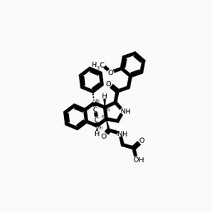 COc1ccccc1CC(=O)C1NC[C@]2(C(=O)NCC(=O)O)[C@@H]3CC[C@@](c4ccccc4)(c4ccccc43)[C@H]12